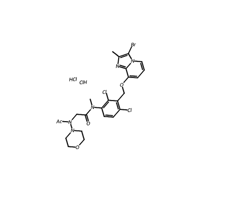 CC(=O)N(CC(=O)N(C)c1ccc(Cl)c(COc2cccn3c(Br)c(C)nc23)c1Cl)N1CCOCC1.Cl.Cl